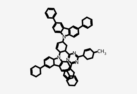 CC1C=CC(c2nc(C3=CC=CCC3)nc(C3CC(n4c5ccc(C6=CC=CCC6)cc5c5cc(-c6ccccc6)ccc54)C=CC3N3C4=C(C=C(C5=CCCC=C5)CC4)C4C=C(C5CC=CCC5)C=CC43)n2)CC1